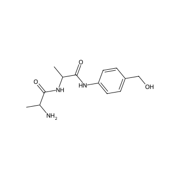 CC(N)C(=O)NC(C)C(=O)Nc1ccc(CO)cc1